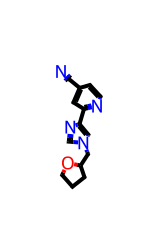 N#Cc1ccnc(-c2cn(CC3CCCO3)cn2)c1